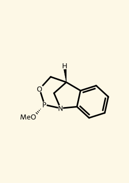 CO[P@]1OC[C@H]2CN1c1ccccc12